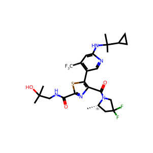 C[C@H]1CC(F)(F)CN1C(=O)c1nc(C(=O)NCC(C)(C)O)sc1-c1cnc(NC(C)(C)C2CC2)cc1C(F)(F)F